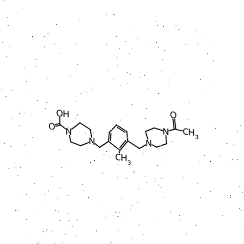 CC(=O)N1CCN(Cc2cccc(CN3CCN(C(=O)O)CC3)c2C)CC1